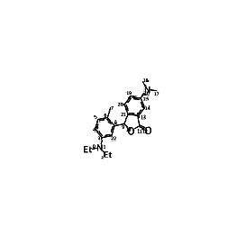 CCN(CC)c1ccc(C)c(C2OC(=O)c3cc(N(C)C)ccc32)c1